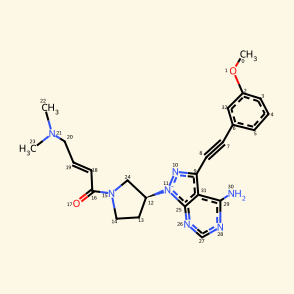 COc1cccc(C#Cc2nn([C@H]3CCN(C(=O)C=CCN(C)C)C3)c3ncnc(N)c23)c1